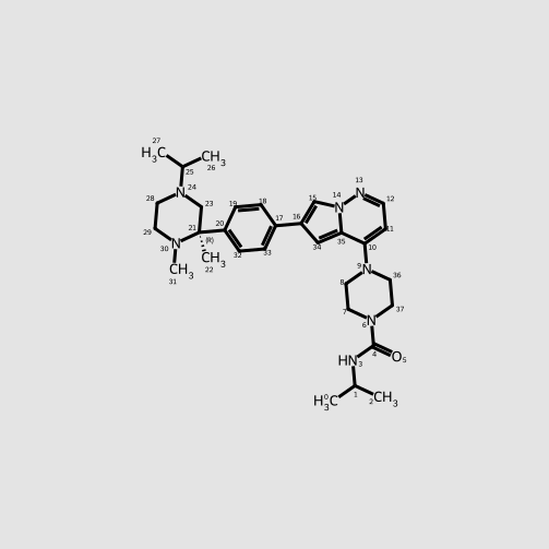 CC(C)NC(=O)N1CCN(c2ccnn3cc(-c4ccc([C@]5(C)CN(C(C)C)CCN5C)cc4)cc23)CC1